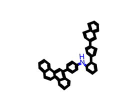 C1=CC(Nc2ccc(-c3cc4c5ccccc5ccc4c4ccccc34)cc2)C(c2ccc(-c3ccc4ccccc4c3)cc2)C=C1